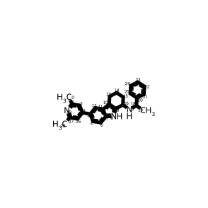 Cc1cc(-c2ccc3[nH]c4c(c3c2)CCCC4NC(C)c2ccccc2)cc(C)n1